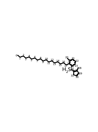 CCCCCCCCCCCCCCCCCCc1c(C)cccc1[SiH2]C1=C(C)C=CC1